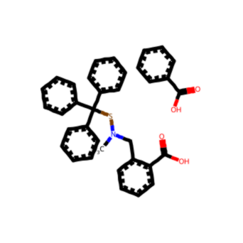 CN(Cc1ccccc1C(=O)O)SC(c1ccccc1)(c1ccccc1)c1ccccc1.O=C(O)c1ccccc1